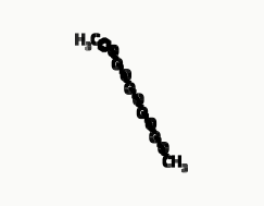 CCCOCCOCCOCCOCCOCCOCCOCCOCCOc1ccc(C)cc1